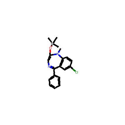 CN1C(O[Si](C)(C)C)=CN=C(c2ccccc2)c2cc(Cl)ccc21